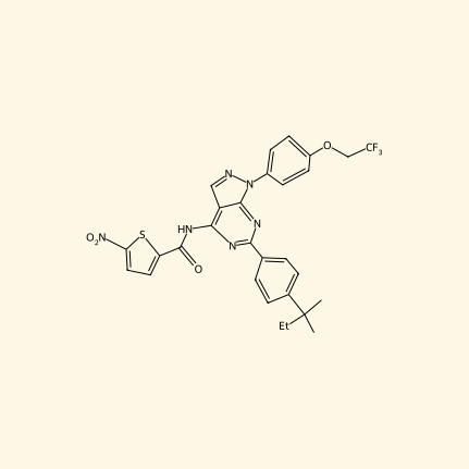 CCC(C)(C)c1ccc(-c2nc(NC(=O)c3ccc([N+](=O)[O-])s3)c3cnn(-c4ccc(OCC(F)(F)F)cc4)c3n2)cc1